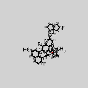 CC(C)[Si](C#Cc1c(F)ccc2cc(O)cc(-c3nc(N4CC[C@@H]4C)c4ncc(OC[C@@]56CCCN5C[C@H](F)C6)nc4c3F)c12)(C(C)C)C(C)C